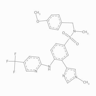 COc1ccc(CN(C)S(=O)(=O)c2ccc(Nc3ccc(C(F)(F)F)cn3)c(-c3cn(C)cn3)c2)cc1